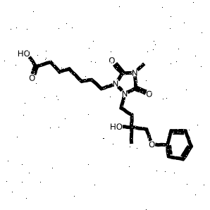 Cn1c(=O)n(CCCCCCC(=O)O)n(CCC(C)(O)COc2ccccc2)c1=O